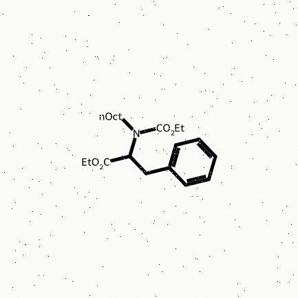 CCCCCCCCN(C(=O)OCC)C(Cc1ccccc1)C(=O)OCC